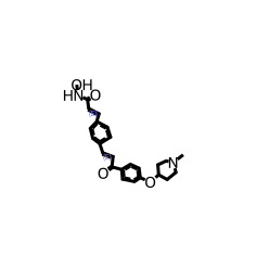 CN1CCC(Oc2ccc(C(=O)/C=C/c3ccc(/C=C/C(=O)NO)cc3)cc2)CC1